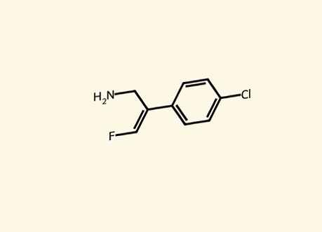 NCC(=CF)c1ccc(Cl)cc1